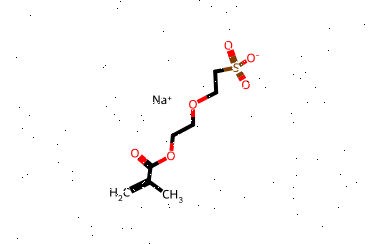 C=C(C)C(=O)OCCOCCS(=O)(=O)[O-].[Na+]